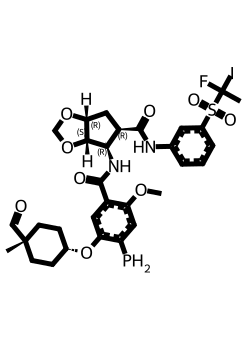 COc1cc(P)c(O[C@H]2CC[C@@](C)(C=O)CC2)cc1C(=O)N[C@H]1[C@@H]2OCO[C@@H]2C[C@H]1C(=O)Nc1cccc(S(=O)(=O)C(C)(F)I)c1